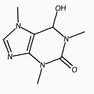 CN1C(=O)N(C)C(O)c2c1ncn2C